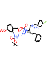 CC(C)(C)OC(=O)Nc1cc(O)ccc1COC(=O)N[C@@H](CCc1ccccc1)CNCc1ccc(F)cc1